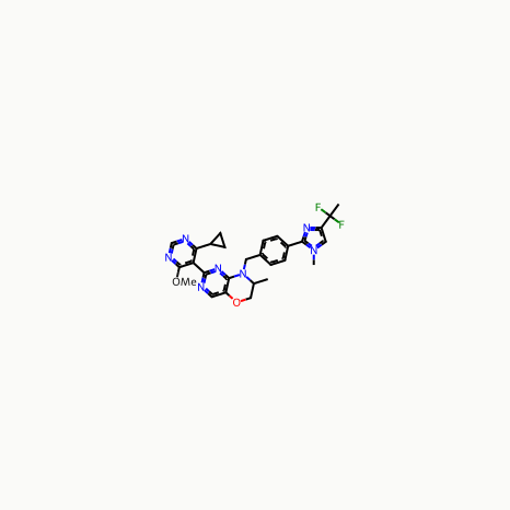 COc1ncnc(C2CC2)c1-c1ncc2c(n1)N(Cc1ccc(-c3nc(C(C)(F)F)cn3C)cc1)C(C)CO2